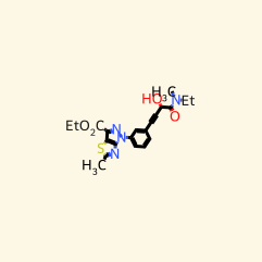 CCOC(=O)c1nn(-c2cccc(C#CC(O)C(=O)N(C)CC)c2)c2nc(C)sc12